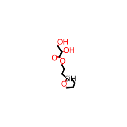 O=C(OCCC[SiH]1CCCCO1)C(O)CO